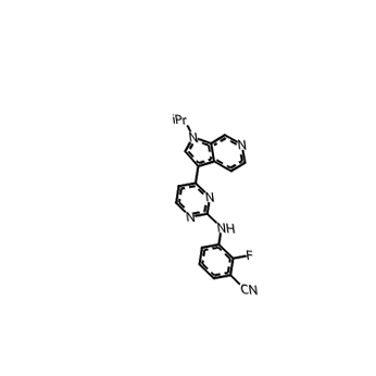 CC(C)n1cc(-c2ccnc(Nc3cccc(C#N)c3F)n2)c2ccncc21